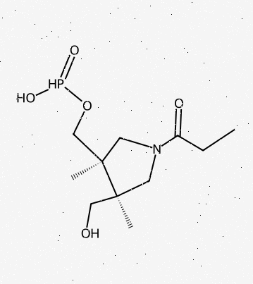 CCC(=O)N1C[C@](C)(CO[PH](=O)O)[C@](C)(CO)C1